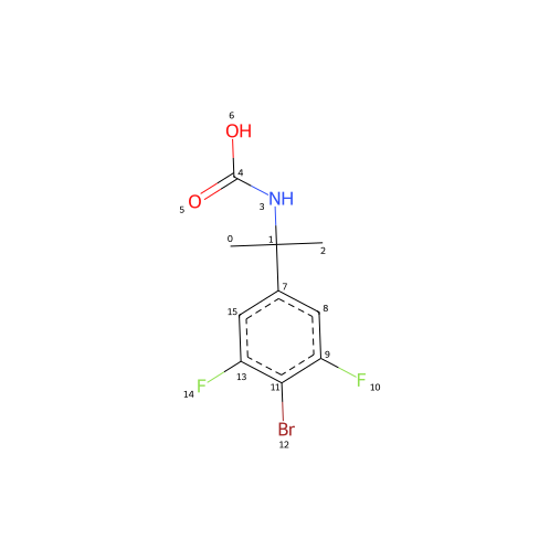 CC(C)(NC(=O)O)c1cc(F)c(Br)c(F)c1